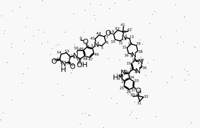 COc1c(N2CCC(O[C@@H]3CCN(CC4CCN(c5cc(-c6n[nH]c7ccc(OC8(C)CC8)cc67)ncn5)CC4)C(C)(C)C3)CC2)ccc2c1CN(C1CCC(=O)NC1=O)C2O